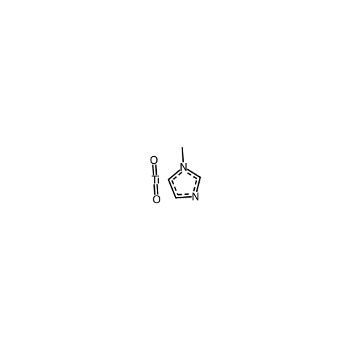 Cn1ccnc1.[O]=[Ti]=[O]